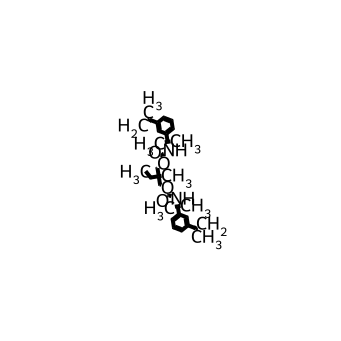 C=C(C)c1cccc(C(C)(C)NC(=O)OCC(C)(CC)COC(=O)NC(C)(C)c2cccc(C(=C)C)c2)c1